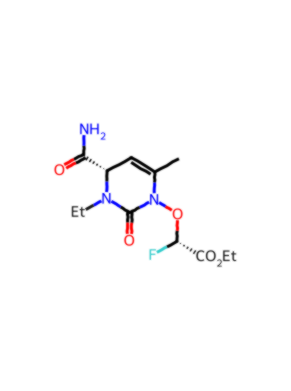 CCOC(=O)[C@H](F)ON1C(=O)N(CC)[C@H](C(N)=O)C=C1C